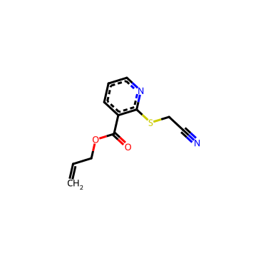 C=CCOC(=O)c1cccnc1SCC#N